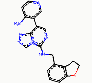 Nc1ccncc1-c1cnc(NCc2cccc3c2CCO3)n2cnnc12